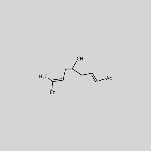 CC/C(C)=C/CC(C)C/C=C/C(C)=O